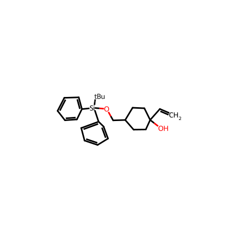 C=CC1(O)CCC(CO[Si](c2ccccc2)(c2ccccc2)C(C)(C)C)CC1